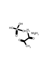 CC(=O)C(C)=O.O=P(O)(O)O.[MgH2]